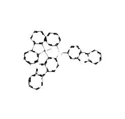 CC1(c2c(N(c3ccccc3)c3ccc4c(c3)sc3ccccc34)ccc3c2oc2ccccc23)c2ccccc2-c2ccccc21